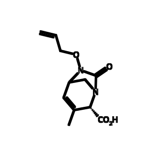 C=CCON1C(=O)N2CC1C=C(C)[C@H]2C(=O)O